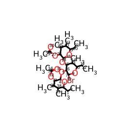 CCC1OC(OC2C(Br)OC(CC)C(C)C2OC2OC(CC)C(C)C(C)C2OC(C)=O)C(OC(C)=O)C(C)C1C